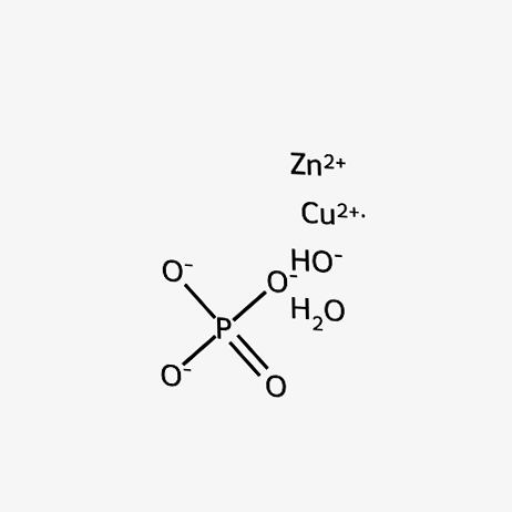 O.O=P([O-])([O-])[O-].[Cu+2].[OH-].[Zn+2]